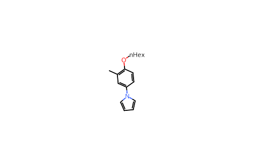 CCCCCCOc1ccc(-n2cccc2)cc1C